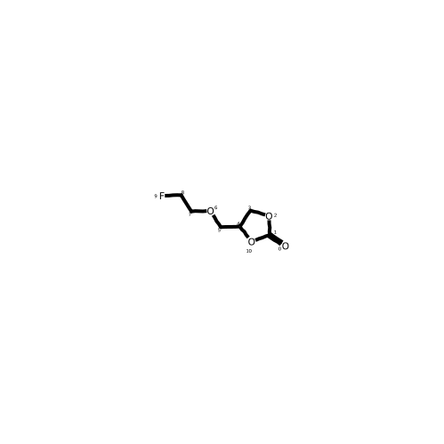 O=C1OCC(COCCF)O1